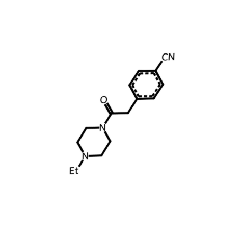 CCN1CCN(C(=O)Cc2ccc(C#N)cc2)CC1